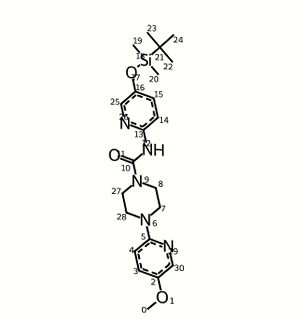 COc1ccc(N2CCN(C(=O)Nc3ccc(O[Si](C)(C)C(C)(C)C)cn3)CC2)nc1